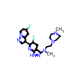 CN1CCN(CCN(C)c2n[nH]c3nc(-c4cnn5ccc(F)cc45)c(F)cc23)CC1